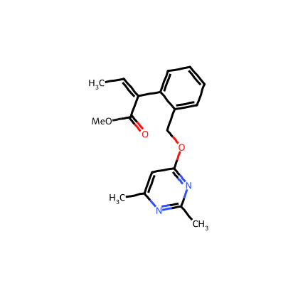 CC=C(C(=O)OC)c1ccccc1COc1cc(C)nc(C)n1